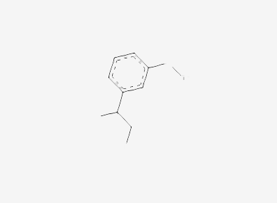 C[C](CF)c1cccc(OC(C)C)c1